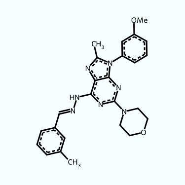 COc1cccc(-n2c(C)nc3c(NN=Cc4cccc(C)c4)nc(N4CCOCC4)nc32)c1